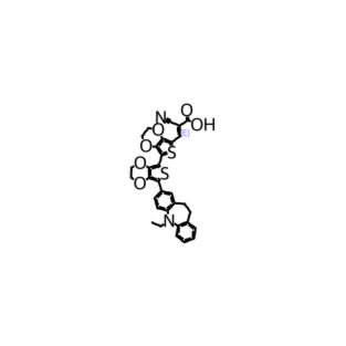 CCN1c2ccccc2CCc2cc(-c3sc(-c4sc(/C=C(\C#N)C(=O)O)c5c4OCCO5)c4c3OCCO4)ccc21